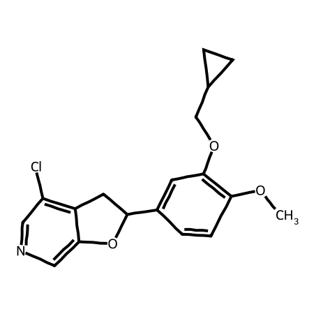 COc1ccc(C2Cc3c(Cl)cncc3O2)cc1OCC1CC1